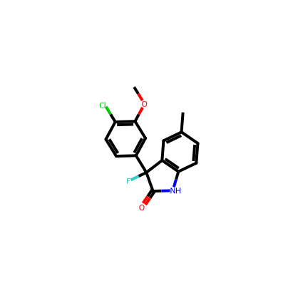 COc1cc(C2(F)C(=O)Nc3ccc(C)cc32)ccc1Cl